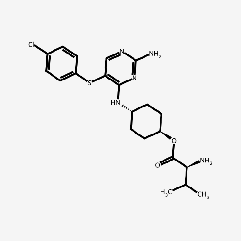 CC(C)[C@H](N)C(=O)O[C@H]1CC[C@H](Nc2nc(N)ncc2Sc2ccc(Cl)cc2)CC1